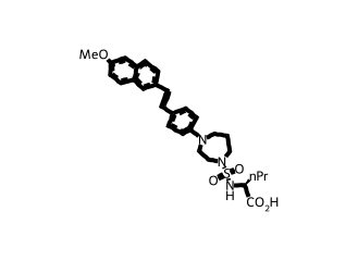 CCC[C@H](NS(=O)(=O)N1CCCN(c2ccc(C=Cc3ccc4cc(OC)ccc4c3)cc2)CC1)C(=O)O